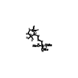 CO[Si](CCCN1[Si](C)(C)CC[Si]1(C)C)(OC)OC